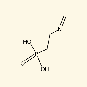 C=NCCP(=O)(O)O